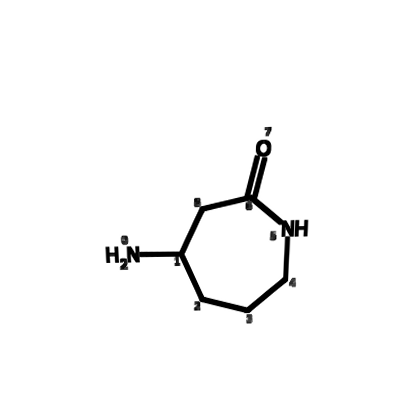 NC1CCCNC(=O)C1